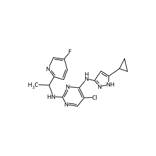 CC(Nc1ncc(Cl)c(Nc2cc(C3CC3)[nH]n2)n1)c1ccc(F)cn1